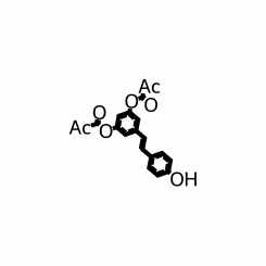 CC(=O)C(=O)Oc1cc(C=Cc2ccc(O)cc2)cc(OC(=O)C(C)=O)c1